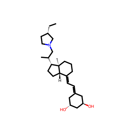 CC[C@H]1CCN(CC(C)[C@H]2CC[C@H]3/C(=C/C=C4C[C@@H](O)C[C@H](O)C4)CCC[C@]23C)C1